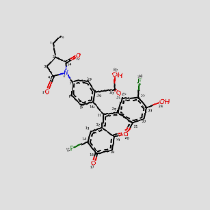 CCC1CC(=O)N(c2ccc(-c3c4cc(F)c(=O)cc-4oc4cc(O)c(F)cc34)c(C(=O)O)c2)C1=O